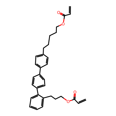 C=CC(=O)OCCCCCc1ccc(-c2ccc(-c3ccccc3CCCOC(=O)C=C)cc2)cc1